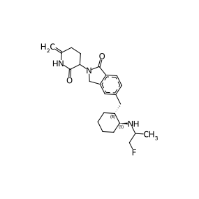 C=C1CCC(N2Cc3cc(C[C@H]4CCCC[C@@H]4NC(C)CF)ccc3C2=O)C(=O)N1